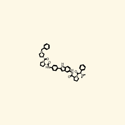 CN(C)[C@H](C(=O)N1CCCC1C(=O)Nc1ccc2[nH]c(-c3ccc(NC(=O)[C@@H]4CCCN4C(=O)[C@@H]4CCN(Cc5ccccc5)C4)cc3)cc2c1)c1ccccc1